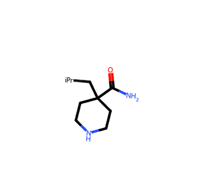 CC(C)CC1(C(N)=O)CCNCC1